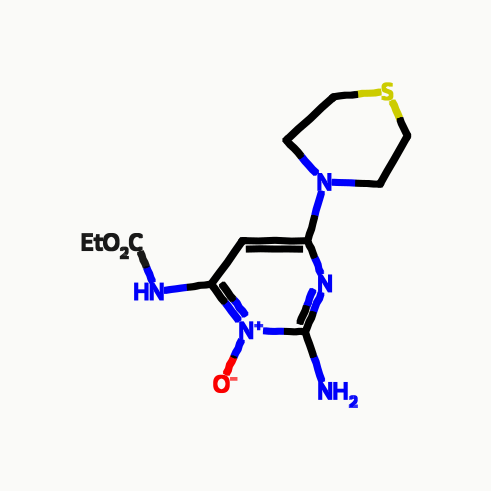 CCOC(=O)Nc1cc(N2CCSCC2)nc(N)[n+]1[O-]